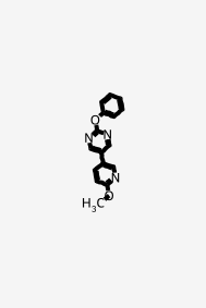 COc1ccc(-c2cnc(Oc3ccccc3)nc2)cn1